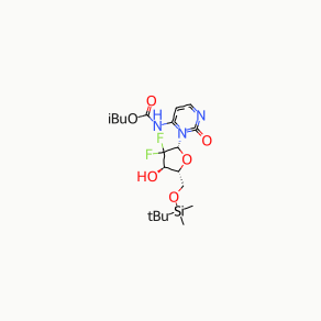 CC(C)COC(=O)Nc1ccnc(=O)n1[C@@H]1O[C@H](CO[Si](C)(C)C(C)(C)C)[C@@H](O)C1(F)F